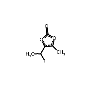 Cc1oc(=O)oc1C(C)I